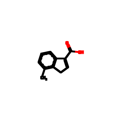 Cc1cccc2c1CC=C2C(=O)O